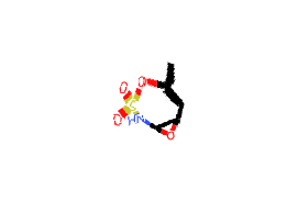 CC1=CC2OC2NS(=O)(=O)O1